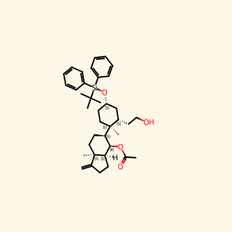 C=C1CC[C@@H]2[C@H](OC(C)=O)[C@H]([C@@]3(C)CC[C@H](O[Si](c4ccccc4)(c4ccccc4)C(C)(C)C)C[C@@H]3CCO)CC[C@]12C